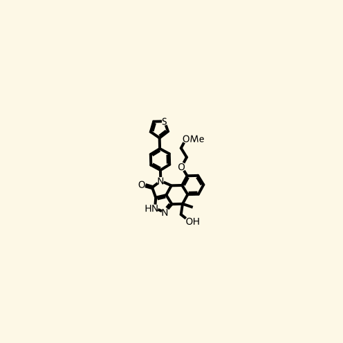 COCCOc1cccc2c1C1c3c(n[nH]c3C(=O)N1c1ccc(-c3ccsc3)cc1)C2(C)CO